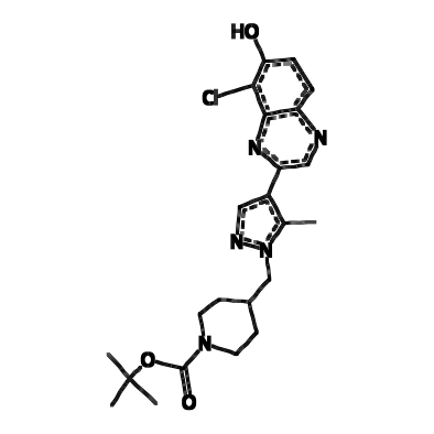 Cc1c(-c2cnc3ccc(O)c(Cl)c3n2)cnn1CC1CCN(C(=O)OC(C)(C)C)CC1